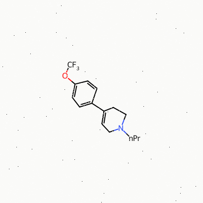 CCCN1CC=C(c2ccc(OC(F)(F)F)cc2)CC1